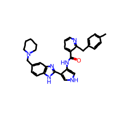 Cc1ccc(Cc2ncccc2C(=O)Nc2c[nH]cc2-c2nc3cc(CN4CCCCC4)ccc3[nH]2)cc1